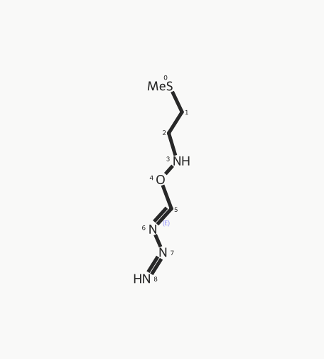 CSCCNO/C=N/N=N